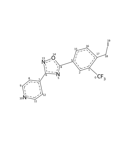 FC(F)(F)c1cc(-c2nc(-c3ccncc3)no2)ccc1CI